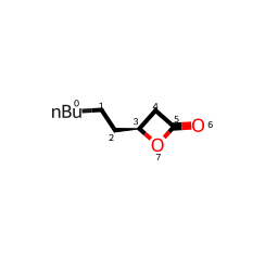 CCCCCC[C@H]1CC(=O)O1